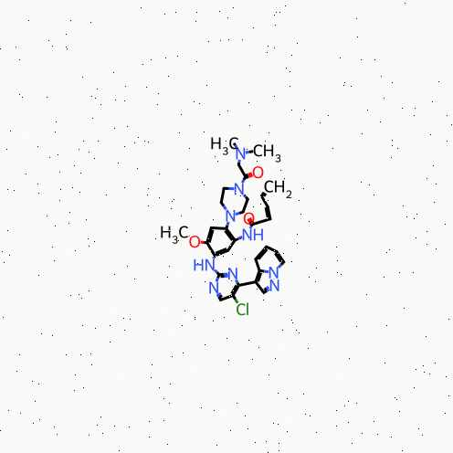 C=C/C=C\C(=O)Nc1cc(Nc2ncc(Cl)c(-c3cnn4ccccc34)n2)c(OC)cc1N1CCN(C(=O)CN(C)C)CC1